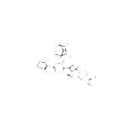 CC12CCC(CN(CC(=O)c3c(Cl)cccc3Cl)C(=O)c3cnn([C@H]4CC[C@@H](C(=O)O)CC4)c3C(F)(F)F)(CC1)C2